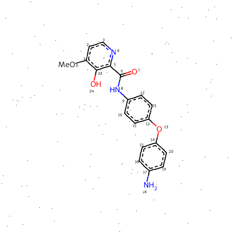 COc1ccnc(C(=O)Nc2ccc(Oc3ccc(N)cc3)cc2)c1O